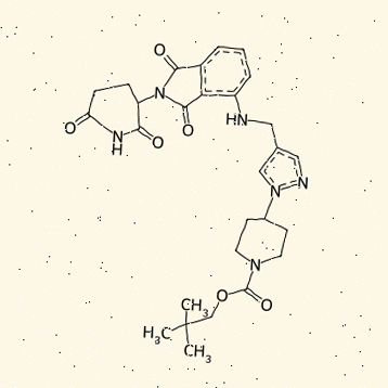 CC(C)(C)COC(=O)N1CCC(n2cc(CNc3cccc4c3C(=O)N(C3CCC(=O)NC3=O)C4=O)cn2)CC1